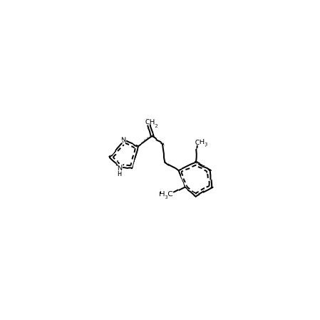 C=C(CCc1c(C)cccc1C)c1c[nH]cn1